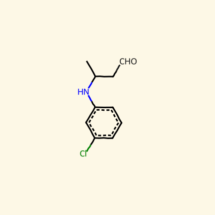 CC(CC=O)Nc1cccc(Cl)c1